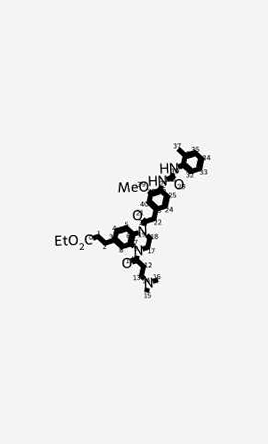 CCOC(=O)CCc1ccc2c(c1)N(C(=O)CCN(C)C)CCN2C(=O)Cc1ccc(NC(=O)Nc2ccccc2C)c(OC)c1